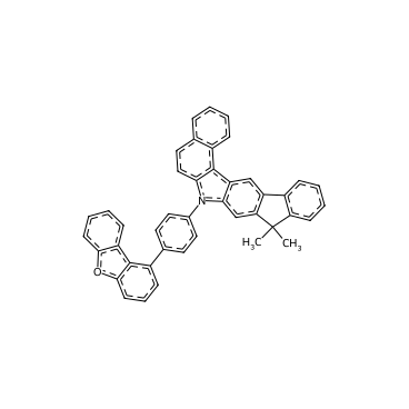 CC1(C)c2ccccc2-c2cc3c4c5ccccc5ccc4n(-c4ccc(-c5cccc6oc7ccccc7c56)cc4)c3cc21